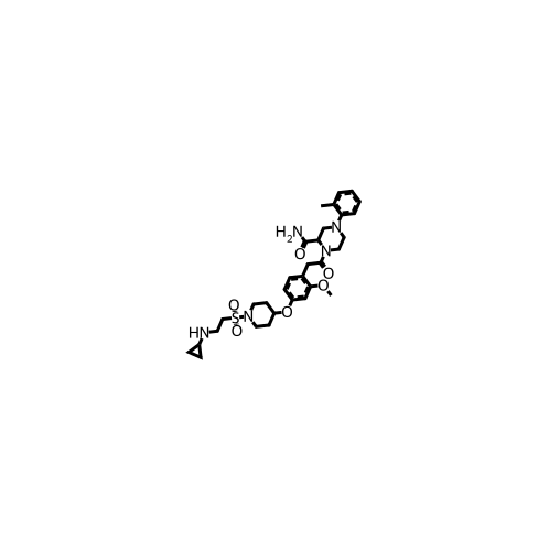 COc1cc(OC2CCN(S(=O)(=O)CCNC3CC3)CC2)ccc1CC(=O)N1CCN(c2ccccc2C)CC1C(N)=O